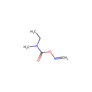 C=NOC(=O)N(C)CC